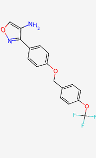 Nc1conc1-c1ccc(OCc2ccc(OC(F)(F)F)cc2)cc1